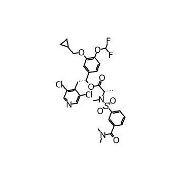 C[C@@H](C(=O)O[C@H](Cc1c(Cl)cncc1Cl)c1ccc(OC(F)F)c(OCC2CC2)c1)N(C)S(=O)(=O)c1cccc(C(=O)N(C)C)c1